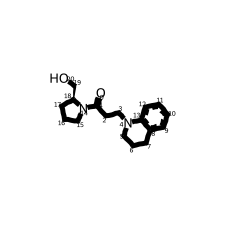 O=C(CCN1CCCc2ccccc21)N1CCC[C@H]1CO